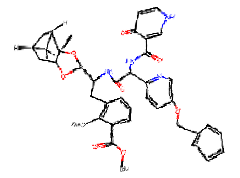 COc1c(CC(NC(=O)C(NC(=O)c2c[nH]ccc2=O)c2ccc(OCc3ccccc3)cn2)B2OC3C[C@@H]4C[C@@H](C4(C)C)[C@]3(C)O2)cccc1C(=O)OC(C)(C)C